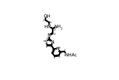 CC(=O)NCc1cccc(-c2csc(N=CC(N)NCCO)n2)n1